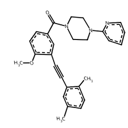 COc1ccc(C(=O)N2CCN(c3ccccn3)CC2)cc1C#Cc1cc(C)ccc1C